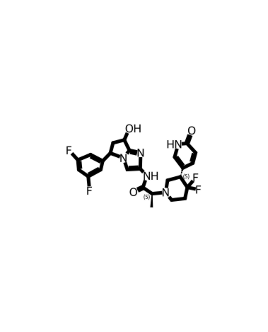 C[C@@H](C(=O)Nc1cn2c(n1)C(O)CC2c1cc(F)cc(F)c1)N1CCC(F)(F)[C@@H](c2ccc(=O)[nH]c2)C1